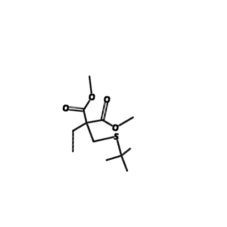 CCC(CSC(C)(C)C)(C(=O)OC)C(=O)OC